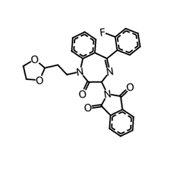 O=C1C(N2C(=O)c3ccccc3C2=O)N=C(c2ccccc2F)c2ccccc2N1CCC1OCCO1